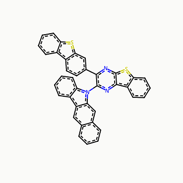 c1ccc2cc3c(cc2c1)c1ccccc1n3-c1nc2c(nc1-c1ccc3c(c1)sc1ccccc13)sc1ccccc12